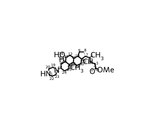 COC(=O)CC[C@@H](C)[C@H]1CCC2C3C[C@@H](O)[C@@H]4C[C@@H](N5CCNCC5)CC[C@]4(C)C3CC[C@@]21C